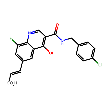 O=C(O)C=Cc1cc(F)c2ncc(C(=O)NCc3ccc(Cl)cc3)c(O)c2c1